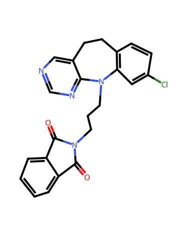 O=C1c2ccccc2C(=O)N1CCCN1c2cc(Cl)ccc2CCc2cncnc21